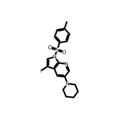 Cc1ccc(S(=O)(=O)n2cc(I)c3cc(N4CCCCC4)cnc32)cc1